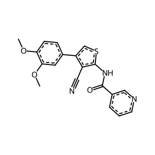 COc1ccc(-c2csc(NC(=O)c3cccnc3)c2C#N)cc1OC